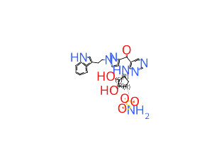 NS(=O)(=O)OC[C@H]1C[C@@H](Nc2ncncc2C(=O)c2ccn(CCc3c[nH]c4ccccc34)n2)[C@H](O)[C@@H]1O